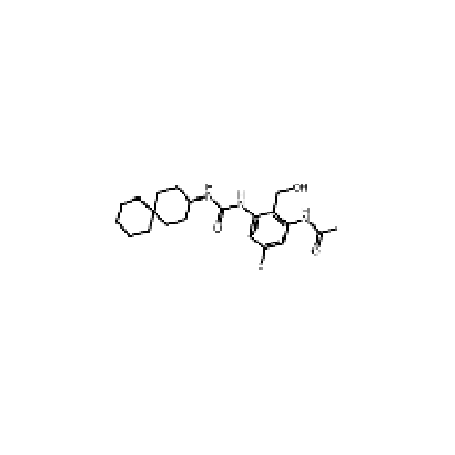 CC(=O)Nc1cc(F)cc(NC(=O)NC2CCC3(CCCCC3)CC2)c1CO